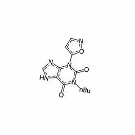 CCCCn1c(=O)c2[nH]cnc2n(-c2ccno2)c1=O